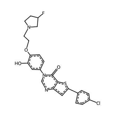 O=c1c2sc(-c3ccc(Cl)cc3)cc2ncn1-c1ccc(OCCN2CCC(F)C2)c(O)c1